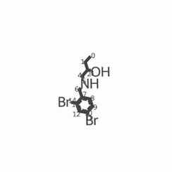 CCC(O)CNCc1ccc(Br)cc1Br